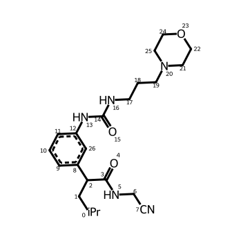 CC(C)CC(C(=O)NCC#N)c1cccc(NC(=O)NCCCN2CCOCC2)c1